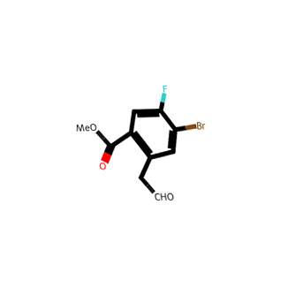 COC(=O)c1cc(F)c(Br)cc1CC=O